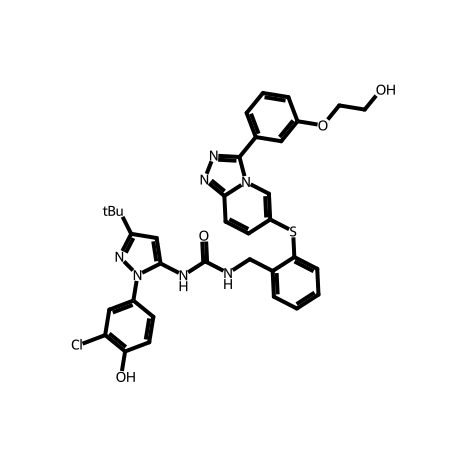 CC(C)(C)c1cc(NC(=O)NCc2ccccc2Sc2ccc3nnc(-c4cccc(OCCO)c4)n3c2)n(-c2ccc(O)c(Cl)c2)n1